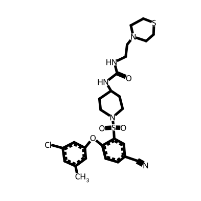 Cc1cc(Cl)cc(Oc2ccc(C#N)cc2S(=O)(=O)N2CCC(NC(=O)NCCN3CCSCC3)CC2)c1